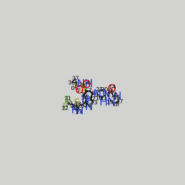 CC1(NS(=O)(=O)c2cc(N3CCN(C(=O)c4ncc[nH]4)CC3)c3cnc(-c4nnc(C(F)F)s4)n3c2)CC1